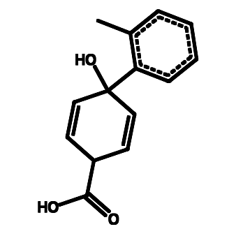 Cc1ccccc1C1(O)C=CC(C(=O)O)C=C1